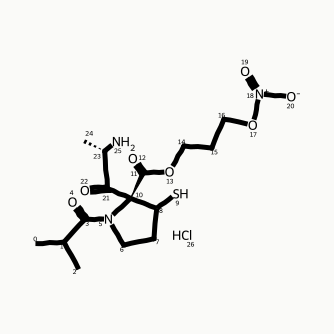 CC(C)C(=O)N1CCC(S)[C@@]1(C(=O)OCCCO[N+](=O)[O-])C(=O)[C@H](C)N.Cl